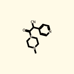 CN1CCN(C(=O)C(C#N)c2ccncc2)CC1